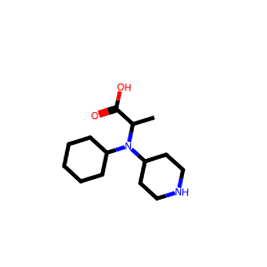 CC(C(=O)O)N(C1CCCCC1)C1CCNCC1